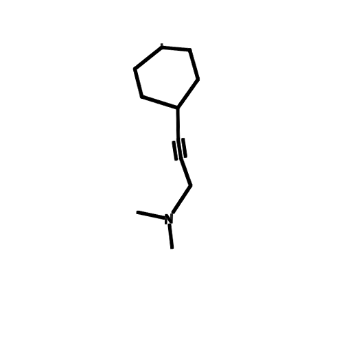 CN(C)CC#CC1CC[CH]CC1